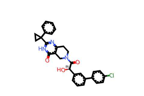 O=C([C@H](O)c1cccc(-c2ccc(Cl)cc2)c1)N1CCc2nc(C3(c4ccccc4)CC3)[nH]c(=O)c2C1